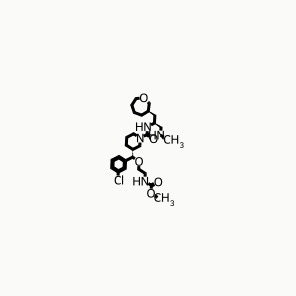 CNC[C@H](C[C@H]1CCCCOC1)NC(=O)N1CCC[C@@H](C(OCCNC(=O)OC)c2cccc(Cl)c2)C1